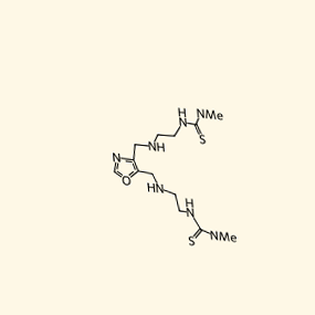 CNC(=S)NCCNCc1ncoc1CNCCNC(=S)NC